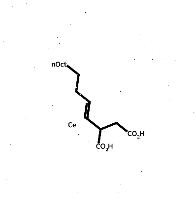 CCCCCCCCCCC=CC(CC(=O)O)C(=O)O.[Ce]